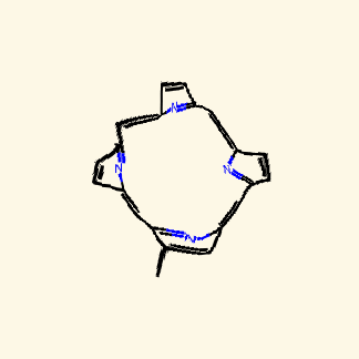 CC1=CC2=CC3=NC(=CC4=NC(=CC5=NC(=CC1=N2)C=C5)C=C4)C=C3